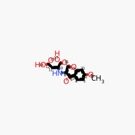 COc1ccc2c(=O)c(NC(=CC(=O)O)C(=O)O)coc2c1